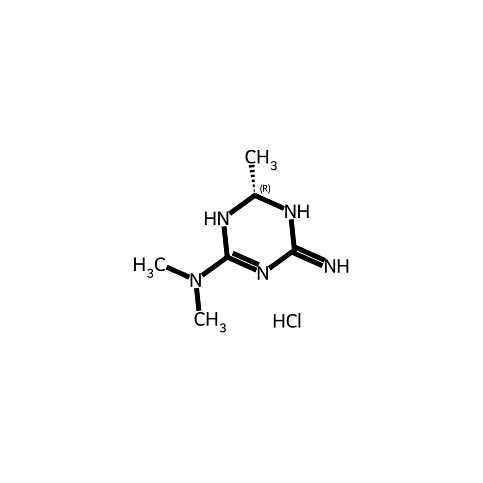 C[C@@H]1NC(=N)N=C(N(C)C)N1.Cl